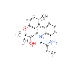 CC(=O)/C=C(\N)CN(c1ccccc1)[C@H]1c2cc(C#N)ccc2OC(C)(C)[C@@H]1O